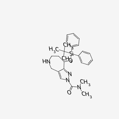 CN(C)C(=O)n1cc2c(n1)C(O[Si](c1ccccc1)(c1ccccc1)C(C)(C)C)CCNC2